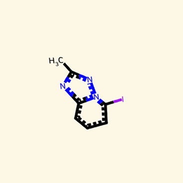 Cc1nc2cccc(I)n2n1